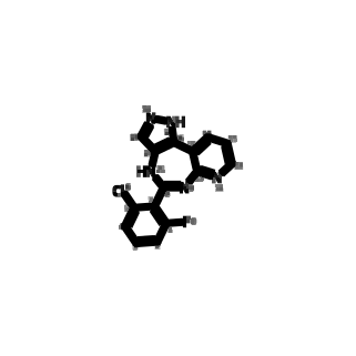 Fc1cccc(Cl)c1C1=Nc2ncccc2-c2[nH]ncc2N1